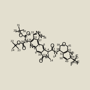 CN(C(=O)C1c2cc3c(cc2C(=O)N1C)nc(N(C(=O)OC(C)(C)C)C(=O)OC(C)(C)C)c1cnn(C)c13)C1COCc2nc(C(F)(F)F)ccc21